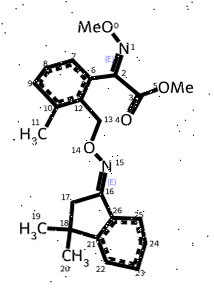 CO/N=C(/C(=O)OC)c1cccc(C)c1CO/N=C1\CC(C)(C)c2ccccc21